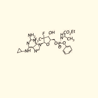 CCOC(=O)[C@@H](C)N[P@](=O)(OC[C@H]1O[C@@H](n2cnc3c(NC4CC4)nc(N)nc32)[C@@](F)(C(F)(F)F)[C@@H]1O)Oc1ccccc1